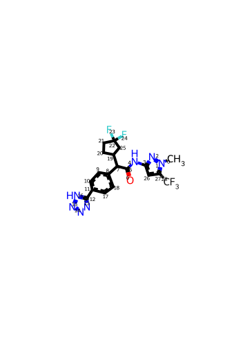 Cn1nc(NC(=O)C(c2ccc(-c3nnn[nH]3)cc2)C2CCC(F)(F)C2)cc1C(F)(F)F